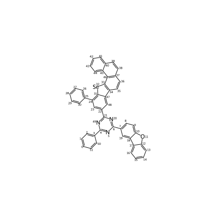 c1ccc(-c2nc(-c3ccc4oc5ccccc5c4c3)nc(-c3cc(-c4ccccc4)c4[se]c5c(ccc6ccc7ccccc7c65)c4c3)n2)cc1